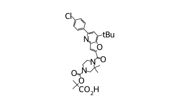 CC(C)(OC(=O)N1CCN(C(=O)c2cc3nc(-c4ccc(Cl)cc4)cc(C(C)(C)C)c3o2)C(C)(C)C1)C(=O)O